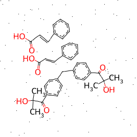 CC(C)(O)C(=O)c1ccc(Cc2ccc(C(=O)C(C)(C)O)cc2)cc1.O=C(O)C=Cc1ccccc1.O=C(O)C=Cc1ccccc1